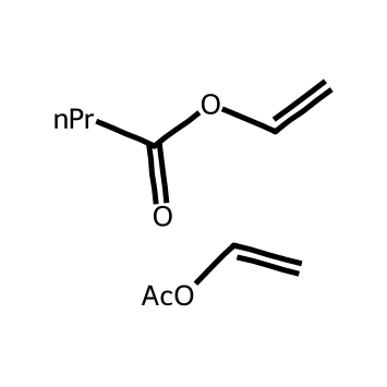 C=COC(=O)CCC.C=COC(C)=O